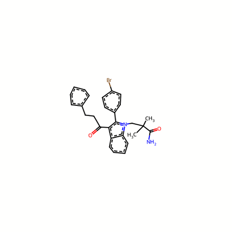 CC(C)(Cn1c(-c2ccc(Br)cc2)c(C(=O)CCc2ccccc2)c2ccccc21)C(N)=O